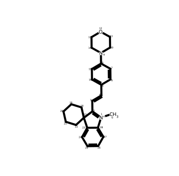 C[N+]1=C(/C=C/c2ccc(N3CCOCC3)cc2)C2(CCCCC2)c2ccccc21